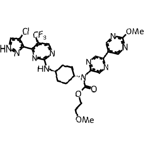 COCCOC(=O)N(c1cnc(-c2cnc(OC)nc2)cn1)[C@H]1CC[C@H](Nc2ncc(C(F)(F)F)c(-c3n[nH]cc3Cl)n2)CC1